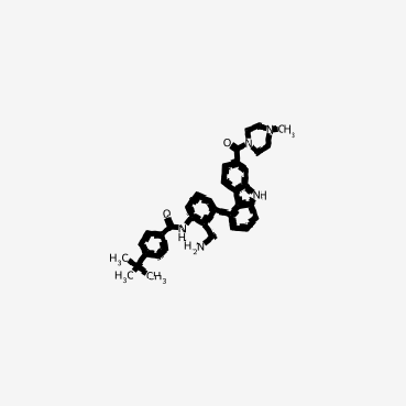 CN1CCN(C(=O)c2ccc3c(c2)[nH]c2cccc(-c4cccc(NC(=O)c5ccc(C(C)(C)C)cc5)c4CN)c23)CC1